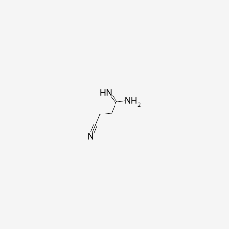 N#CCCC(=N)N